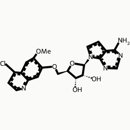 COc1cc2c(Cl)ccnc2cc1OC[C@H]1O[C@@H](n2ccc3c(N)ncnc32)[C@H](O)[C@@H]1O